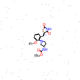 CC(C)Oc1cccc(/C=C2\SC(=O)NC2=O)c1N1CC[C@H](NC(=O)OC(C)(C)C)C1